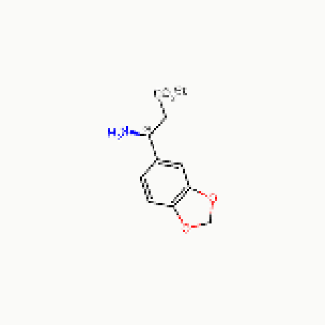 CCOC(=O)C[C@H](N)c1ccc2c(c1)OCO2